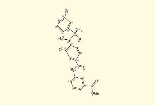 COC(=O)c1ccnc(NC(=O)c2ccc([C@@H](C)[C@@](O)(c3ccnc(Cl)c3)C(F)(F)F)c(Cl)c2)c1